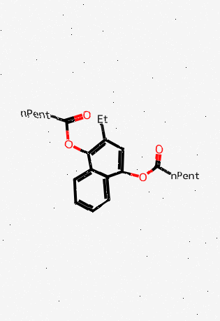 CCCCCC(=O)Oc1cc(CC)c(OC(=O)CCCCC)c2ccccc12